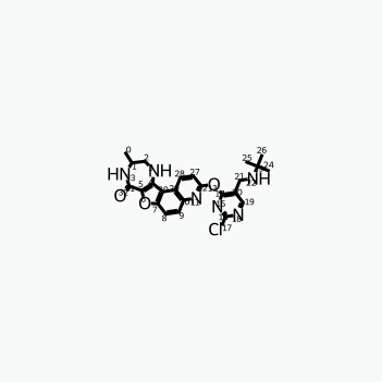 CC1CNc2c(oc3ccc4nc(Oc5nc(Cl)ncc5CNC(C)(C)C)ccc4c23)C(=O)N1